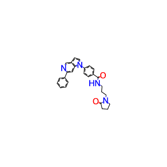 O=C(NCCCN1CCCC1=O)c1ccc(-n2ccc3cnc(-c4ccccc4)cc32)cc1